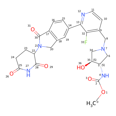 COC(=O)N[C@H]1CN(Cc2ccnc(-c3ccc4c(c3)CN(C3CCC(=O)NC3=O)C4=O)c2F)C[C@@H]1O